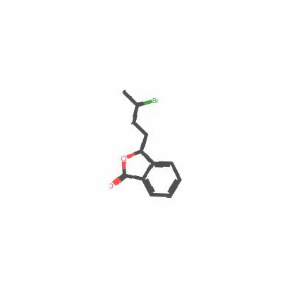 CC(Br)CCC1OC(=O)c2ccccc21